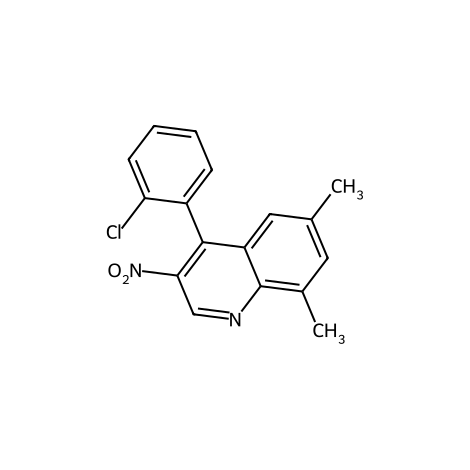 Cc1cc(C)c2ncc([N+](=O)[O-])c(-c3ccccc3Cl)c2c1